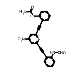 NC(=O)Nc1ccccc1C#Cc1cc([N+](=O)[O-])cc(C#Cc2ccccc2NC=O)n1